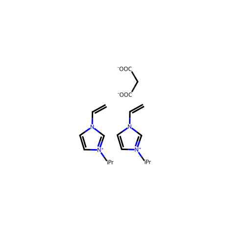 C=Cn1cc[n+](C(C)C)c1.C=Cn1cc[n+](C(C)C)c1.O=C([O-])CC(=O)[O-]